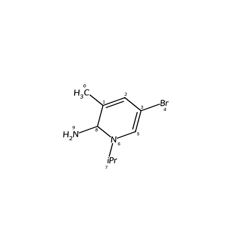 CC1=CC(Br)=CN(C(C)C)C1N